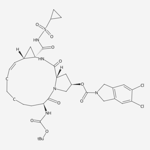 CC(C)(C)OC(=O)N[C@H]1CCCCC/C=C\[C@@H]2C[C@@]2(C(=O)NS(=O)(=O)C2CC2)NC(=O)[C@@H]2C[C@@H](OC(=O)N3Cc4cc(Cl)c(Cl)cc4C3)CN2C1=O